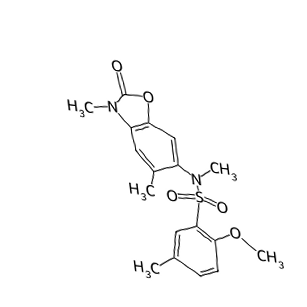 COc1ccc(C)cc1S(=O)(=O)N(C)c1cc2oc(=O)n(C)c2cc1C